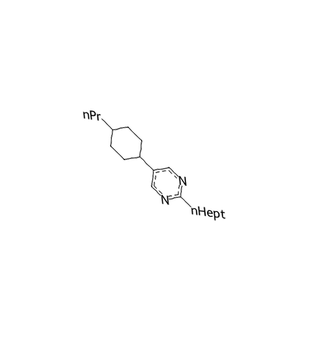 CCCCCCCc1ncc(C2CCC(CCC)CC2)cn1